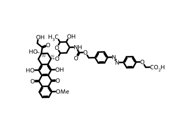 COc1cccc2c1C(=O)c1c(O)c3c(c(O)c1C2=O)C[C@@](O)(C(=O)CO)C[C@@H]3OC1CC(NC(=O)OCc2ccc(N=Nc3ccc(OCC(=O)O)cc3)cc2)C(O)C(C)O1